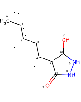 CCCCCC1C(=O)NNC1O